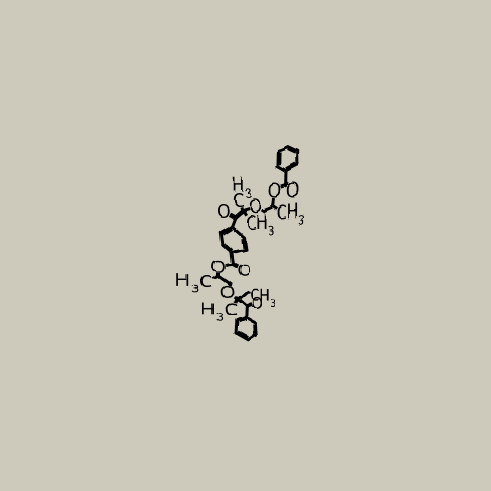 CCC(C)(OCC(C)OC(=O)c1ccc(C(=O)C(C)(C)OCC(C)OC(=O)c2ccccc2)cc1)C(=O)c1ccccc1